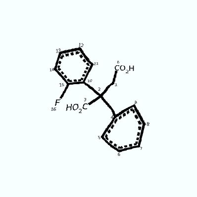 O=C(O)CC(C(=O)O)(c1ccccc1)c1ccccc1F